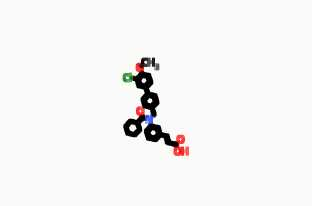 COc1ccc(-c2ccc(CN(C(=O)C3CCCCC3)c3cccc(C=CC(=O)O)c3)cc2)cc1Cl